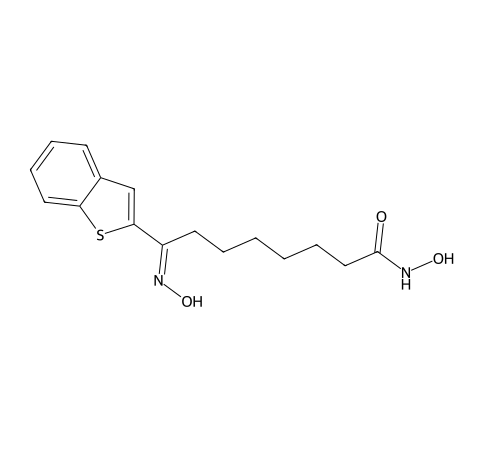 O=C(CCCCCC/C(=N\O)c1cc2ccccc2s1)NO